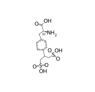 N[C@@H](Cc1ccc(C(CS(=O)(=O)O)CS(=O)(=O)O)cc1)C(=O)O